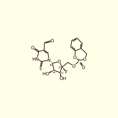 O=Cc1cn([C@@H]2O[C@](F)(COP3(=O)OCc4ccccc4O3)[C@@H](O)[C@H]2O)c(=S)[nH]c1=O